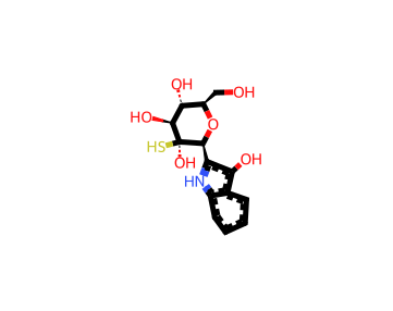 OC[C@H]1O[C@@H](c2[nH]c3ccccc3c2O)[C@@](O)(S)[C@@H](O)[C@@H]1O